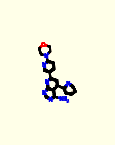 Nc1ncnc2nc(-c3ccc(N4CCOCC4)nc3)cc(-c3ccccn3)c12